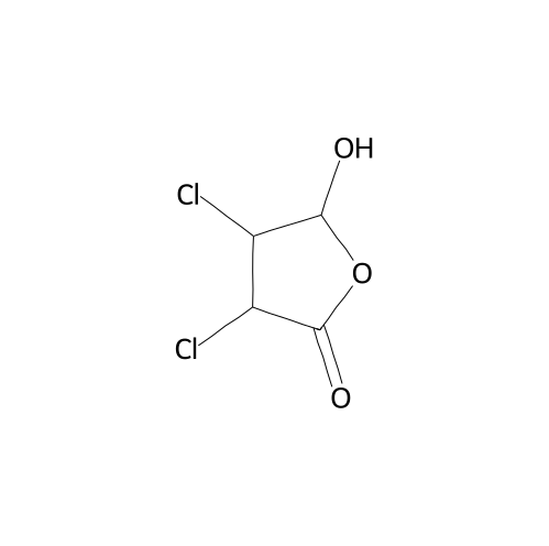 O=C1OC(O)C(Cl)C1Cl